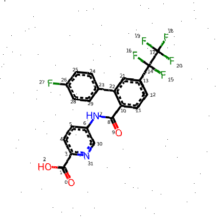 O=C(O)c1ccc(NC(=O)c2ccc(C(F)(F)C(F)(F)F)cc2-c2ccc(F)cc2)cn1